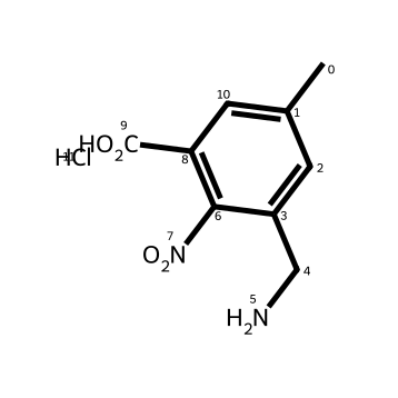 Cc1cc(CN)c([N+](=O)[O-])c(C(=O)O)c1.Cl